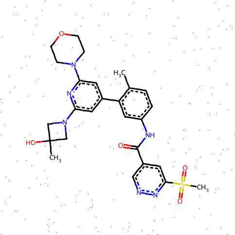 Cc1ccc(NC(=O)c2cnnc(S(C)(=O)=O)c2)cc1-c1cc(N2CCOCC2)nc(N2CC(C)(O)C2)c1